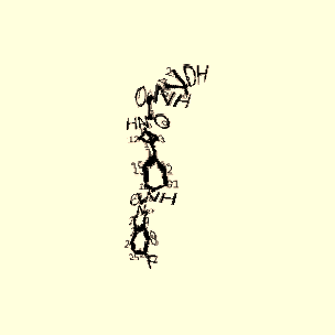 CC(C)(O)CNC(=O)C(=O)NC12CC(c3ccc(NC(=O)N4Cc5ccc(F)cc5C4)cc3)(C1)C2